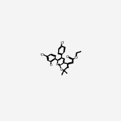 CCOC(=O)/C=C1/CC(C)(C)Oc2nc(-c3ccc(Cl)cc3Cl)c(-c3ccc(Cl)cc3)cc21